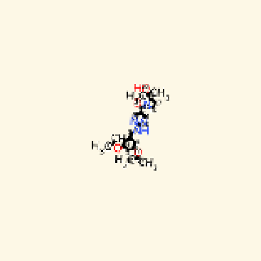 CC(C)Oc1cc(CNc2ncc(C(=O)N3CCC3C(C)(C)O)cn2)cc(OC(C)C)c1